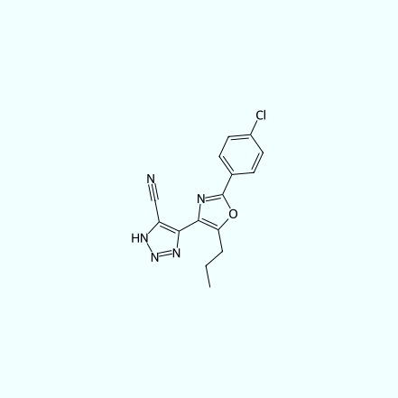 CCCc1oc(-c2ccc(Cl)cc2)nc1-c1nn[nH]c1C#N